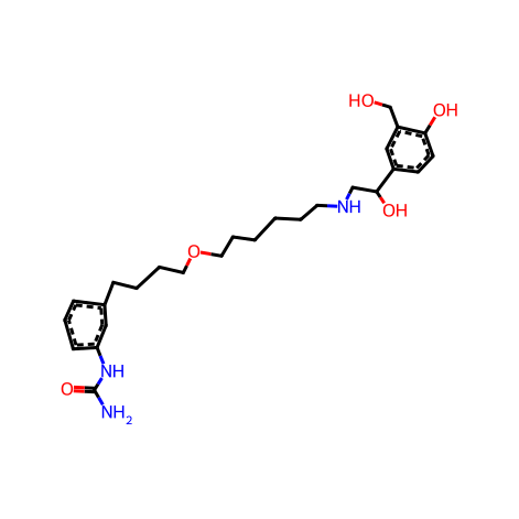 NC(=O)Nc1cccc(CCCCOCCCCCCNCC(O)c2ccc(O)c(CO)c2)c1